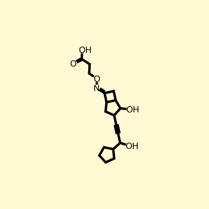 O=C(O)CCON=C1CC2C1CC(C#CC(O)C1CCCC1)C2O